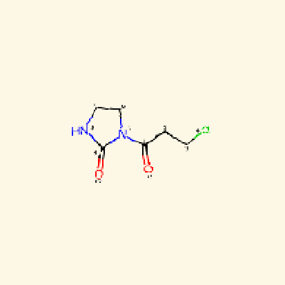 O=C(CCCl)N1CCNC1=O